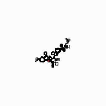 COc1ccc2c(c1)C(=O)N(C[C@@]1(c3cc4cc(S(=O)(=O)NCCN(C)C)ccc4o3)NC(=O)NC1=O)C2